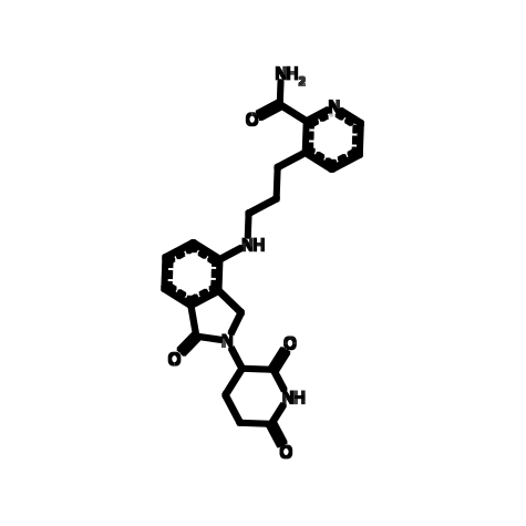 NC(=O)c1ncccc1CCCNc1cccc2c1CN(C1CCC(=O)NC1=O)C2=O